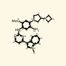 COc1cc(N2CCC(N3CCC3)C2)c(N)cc1Nc1nccc(-c2cn(C)c3ccccc23)n1